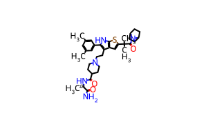 Cc1cc(C)cc(-c2[nH]c3sc(C(C)(C)C(=O)N4C5CCC4CC5)cc3c2CCN2CCC(C(=O)N[C@@H](C)C(N)=O)CC2)c1